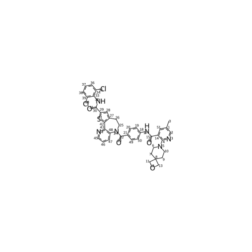 Cc1cnc(N2CCC3(CC2)COC3)c(C(=O)Nc2ccc(C(=O)N3CCc4cc(C(=O)Nc5c(Cl)cccc5Cl)sc4-c4ncccc43)cc2)c1